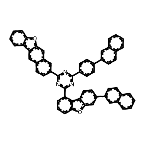 c1ccc2cc(-c3ccc(-c4nc(-c5ccc6cc7c(cc6c5)oc5ccccc57)nc(-c5cccc6oc7cc(-c8ccc9ccccc9c8)ccc7c56)n4)cc3)ccc2c1